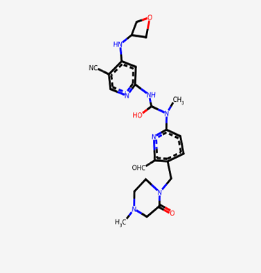 CN1CCN(Cc2ccc(N(C)C(O)Nc3cc(NC4COC4)c(C#N)cn3)nc2C=O)C(=O)C1